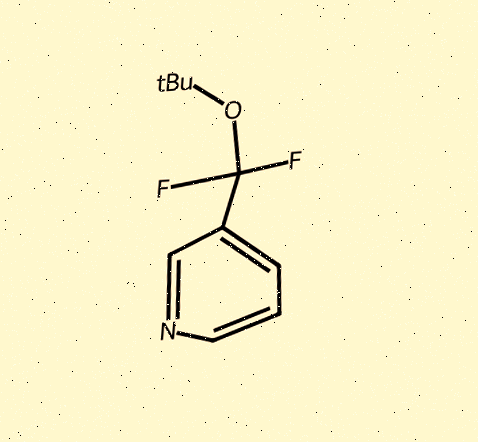 CC(C)(C)OC(F)(F)c1cccnc1